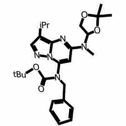 CC(C)c1cnn2c(N(Cc3ccccc3)C(=O)OC(C)(C)C)cc(N(C)C3COC(C)(C)O3)nc12